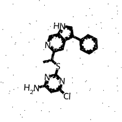 CC(Sc1nc(N)cc(Cl)n1)c1cc2c(-c3ccccc3)c[nH]c2cn1